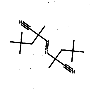 CC(C)(C)CC(C)(C#N)/N=N/C(C)(C#N)CC(C)(C)C